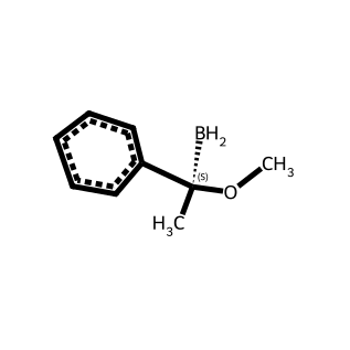 B[C@@](C)(OC)c1ccccc1